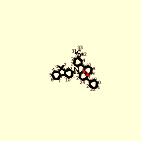 CC1(C)c2ccccc2-c2ccc(N(c3ccc(-c4ccccc4)cc3)c3ccc(S(C)(C)C)cc3-c3ccccc3)cc21